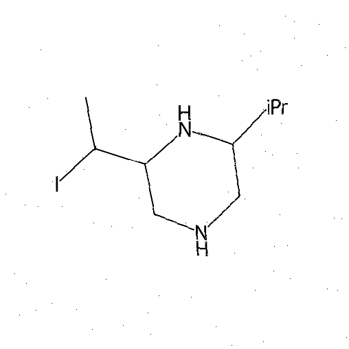 CC(C)C1CNCC(C(C)I)N1